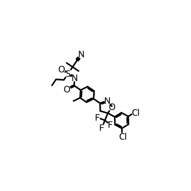 CCCS(=O)(=NC(=O)c1ccc(C2=NOC(c3cc(Cl)cc(Cl)c3)(C(F)(F)F)C2)cc1C)C(C)(C)C#N